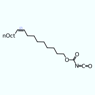 CCCCCCCC/C=C\CCCCCCCCOC(=O)N=C=O